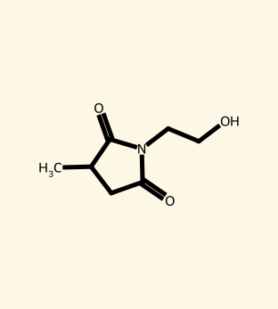 CC1CC(=O)N(CCO)C1=O